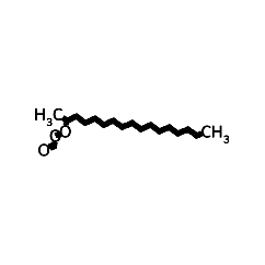 CCCCCCCCCCCCCCCC(C)OOC=O